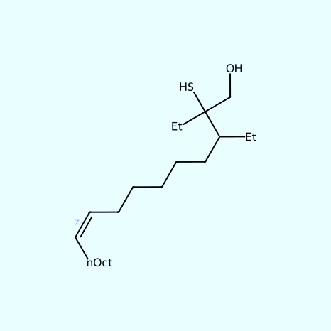 CCCCCCCC/C=C\CCCCCC(CC)C(S)(CC)CO